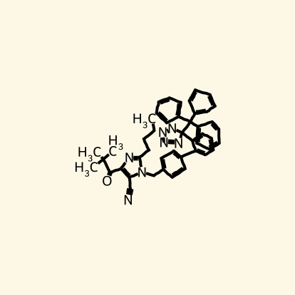 CCCCc1nc(C(=O)C(C)(C)C)c(C#N)n1Cc1ccc(-c2ccccc2C2(C(c3ccccc3)(c3ccccc3)c3ccccc3)N=NN=N2)cc1